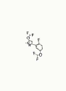 Cn1nc(-c2cc(OC(F)F)ccc2F)cc1OC(F)F